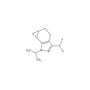 CC(C)n1nc(C(F)F)c2c1C1CC1CC2